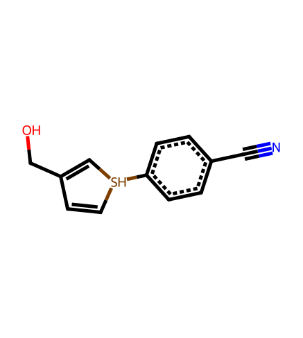 N#Cc1ccc([SH]2C=CC(CO)=C2)cc1